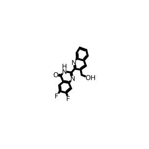 O=c1[nH]c(-c2nc3ccccc3cc2CO)nc2cc(F)c(F)cc12